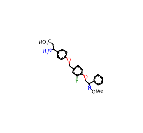 CO/N=C(/COc1ccc(COc2ccc(C(N)CC(=O)O)cc2)cc1F)c1ccccc1